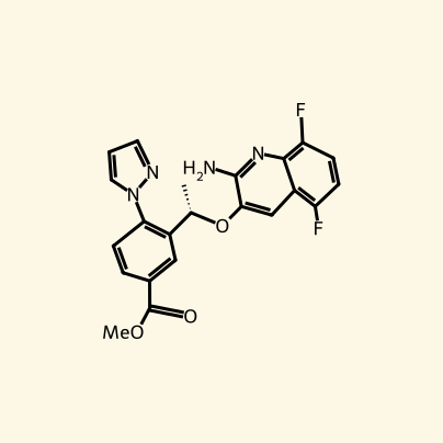 COC(=O)c1ccc(-n2cccn2)c([C@H](C)Oc2cc3c(F)ccc(F)c3nc2N)c1